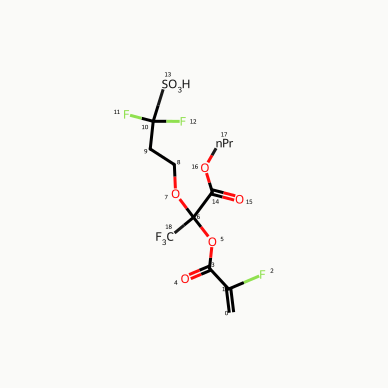 C=C(F)C(=O)OC(OCCC(F)(F)S(=O)(=O)O)(C(=O)OCCC)C(F)(F)F